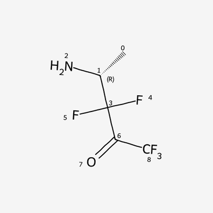 C[C@@H](N)C(F)(F)C(=O)C(F)(F)F